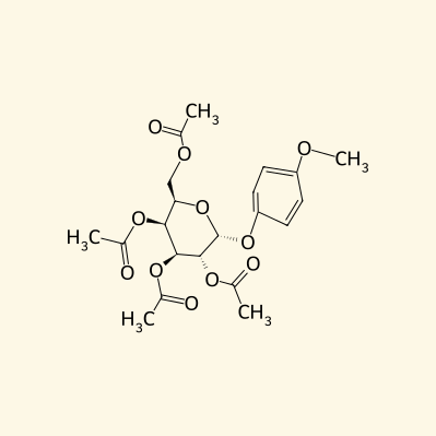 COc1ccc(O[C@H]2O[C@H](COC(C)=O)[C@H](OC(C)=O)[C@H](OC(C)=O)[C@H]2OC(C)=O)cc1